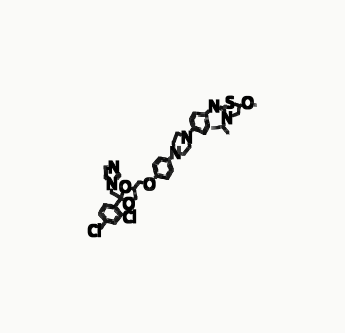 COC1CN(C(C)C)/C(=N\c2ccc(N3CCN(c4ccc(OCC5COC(Cn6ccnc6)(c6ccc(Cl)cc6Cl)O5)cc4)CC3)cc2)S1